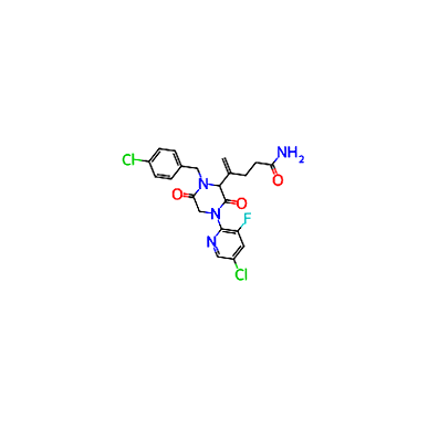 C=C(CCC(N)=O)C1C(=O)N(c2ncc(Cl)cc2F)CC(=O)N1Cc1ccc(Cl)cc1